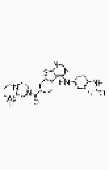 O=C(C1CCc2c(sc3ncnc(Nc4ccc5[nH]c(=O)sc5c4)c23)C1)N1CCN2CCC[AsH]C2C1